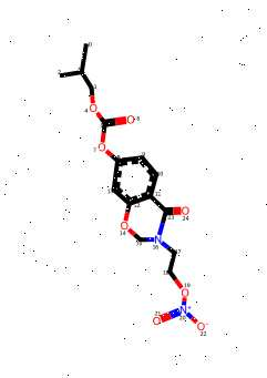 CC(C)COC(=O)Oc1ccc2c(c1)OCN(CCO[N+](=O)[O-])C2=O